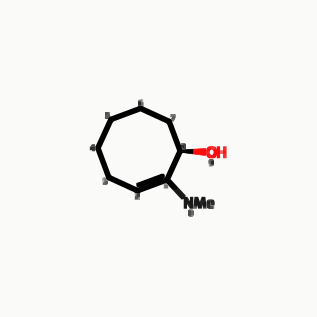 CNC1=CCCCCC[C@H]1O